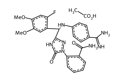 CC(=O)O.COc1cc(F)c([C@H](Nc2ccc(C(=N)N)cc2)c2nn(-c3ccccc3C(N)=O)c(=O)[nH]2)cc1OC